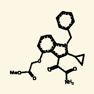 COC(=O)COc1cccc2c1c(C(=O)C(N)=O)c(C1CC1)n2Cc1ccccc1